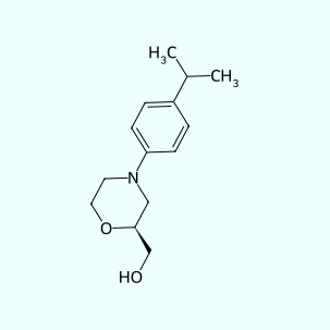 CC(C)c1ccc(N2CCO[C@H](CO)C2)cc1